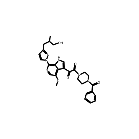 COc1cnc(-n2ccc(CC(C)CO)n2)c2[nH]cc(C(=O)C(=O)N3CCN(C(=O)c4ccccc4)CC3)c12